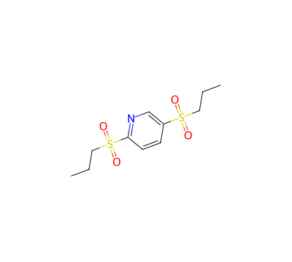 CCCS(=O)(=O)c1ccc(S(=O)(=O)CCC)nc1